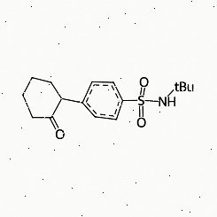 CC(C)(C)NS(=O)(=O)c1ccc(C2CCCCC2=O)cc1